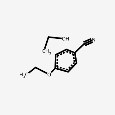 CCO.CCOc1ccc(C#N)cc1